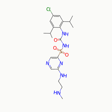 CNCCNc1cncc(S(=O)(=O)NC(=O)Nc2c(C(C)C)cc(Cl)cc2C(C)C)n1